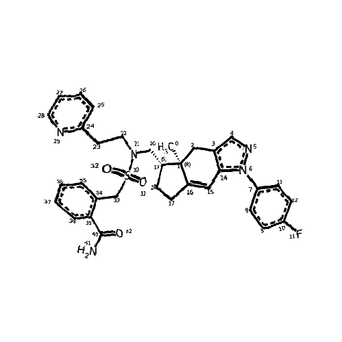 C[C@]12Cc3cnn(-c4ccc(F)cc4)c3C=C1CC[C@@H]2CN(CCc1ccccn1)S(=O)(=O)Cc1ccccc1C(N)=O